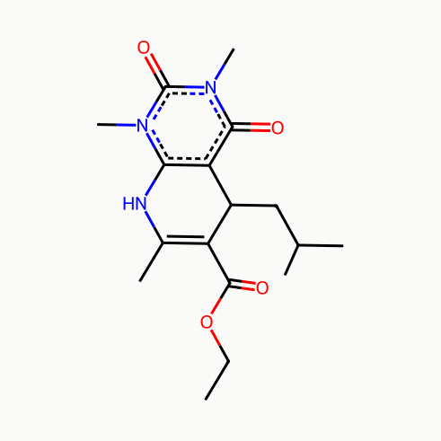 CCOC(=O)C1=C(C)Nc2c(c(=O)n(C)c(=O)n2C)C1CC(C)C